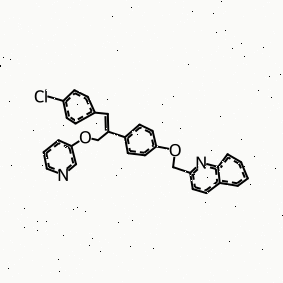 Clc1ccc(C=C(COc2cccnc2)c2ccc(OCc3ccc4ccccc4n3)cc2)cc1